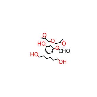 C(OCC1CO1)C1CO1.O=COc1cccc(O)c1.OCCCCCCO